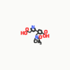 CCN(Cc1cc(C(=O)O)ccc1-c1cncc(CC(=O)O)c1)C(=O)C1CC1